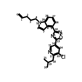 C=CCCCn1ccc2c(-c3noc(-c4cnc(CC(C)C)c(Cl)c4)n3)cccc21